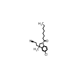 CCCCCCCC(=O)N1CC(C)(CCC#N)c2cc(Cl)ccc21